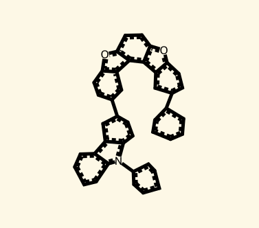 c1ccc(-c2ccc3oc4ccc5oc6ccc(-c7ccc8c(c7)c7ccccc7n8-c7ccccc7)cc6c5c4c3c2)cc1